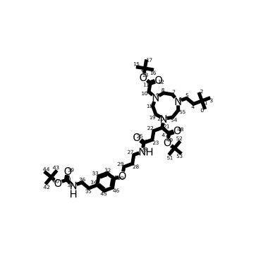 CC(C)(C)CCN1CCN(CC(=O)OC(C)(C)C)CCN(C(CCC(=O)NCCCOc2ccc(CCNC(=O)OC(C)(C)C)cc2)C(=O)OC(C)(C)C)CC1